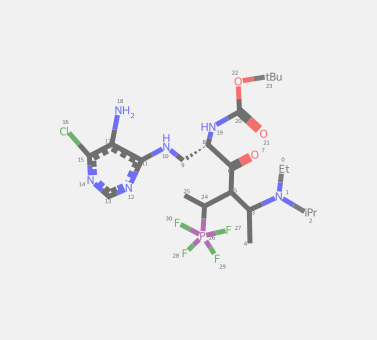 CCN(C(C)C)C(C)C(C(=O)[C@H](CNc1ncnc(Cl)c1N)NC(=O)OC(C)(C)C)C(C)P(F)(F)(F)F